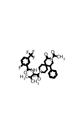 CC(=O)N1CC(c2ccccc2)C2(CCN(C(=O)[C@H](NC(=O)c3cc(C(F)(F)F)ccc3F)C(C)C)CC2)CC1=O